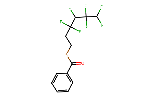 O=C(SCCC(F)(F)C(F)C(F)(F)C(F)F)c1ccccc1